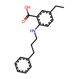 CCc1ccc(NCCCc2ccccc2)c(C(=O)O)c1